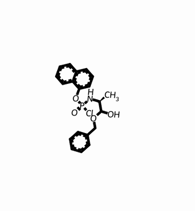 C[C@H](NP(=O)(Cl)Oc1cccc2ccccc12)C(O)OCc1ccccc1